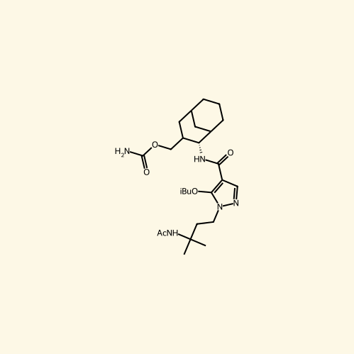 CC(=O)NC(C)(C)CCn1ncc(C(=O)N[C@H]2C3CCCC(C3)CC2COC(N)=O)c1OCC(C)C